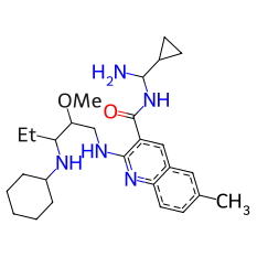 CCC(NC1CCCCC1)C(CNc1nc2ccc(C)cc2cc1C(=O)NC(N)C1CC1)OC